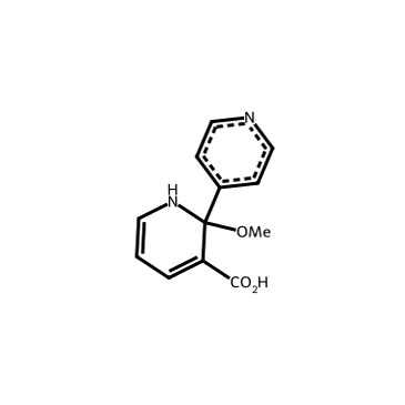 COC1(c2ccncc2)NC=CC=C1C(=O)O